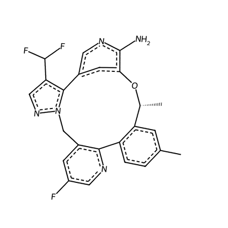 Cc1ccc2c(c1)[C@@H](C)Oc1cc(cnc1N)-c1c(C(F)F)cnn1Cc1cc(F)cnc1-2